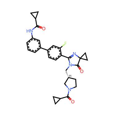 O=C(Nc1cccc(-c2ccc(C3=NC4(CC4)C(=O)N3C[C@@H]3CCN(C(=O)C4CC4)C3)c(F)c2)c1)C1CC1